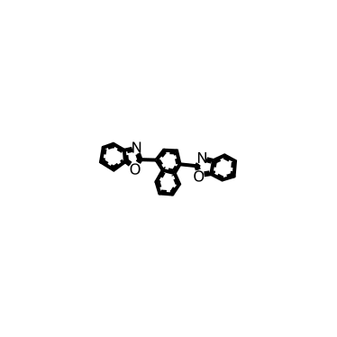 c1ccc2oc(-c3ccc(-c4nc5ccccc5o4)c4ccccc34)nc2c1